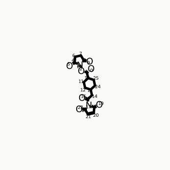 O=C(ON1C(=O)CCC1=O)C1CCC(CC(=O)N2C(=O)C=CC2=O)CC1